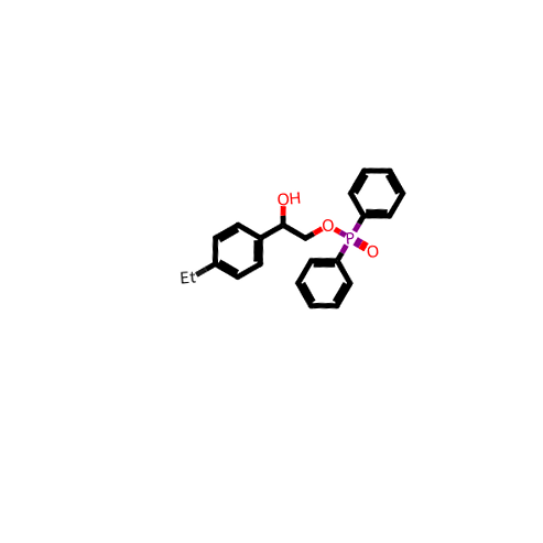 CCc1ccc(C(O)COP(=O)(c2ccccc2)c2ccccc2)cc1